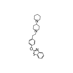 c1ccc2sc(Oc3ccc(CCN4CCC(N5CCCCC5)CC4)cc3)nc2c1